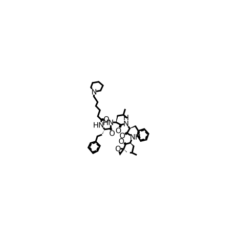 CC(C)C[C@H](NC(=O)[C@H](CCc1ccccc1)NC(=O)CCCCCN1CCCCC1)C(=O)N[C@@H](Cc1ccccc1)C(=O)N[C@@H](CC(C)C)C(=O)[C@@]1(C)CO1